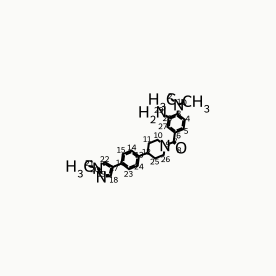 CN(C)c1ccc(C(=O)N2CCC(c3ccc(-c4cnn(C)c4)cc3)CC2)cc1N